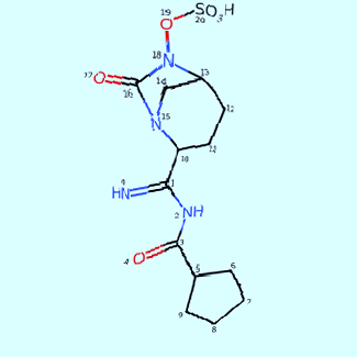 N=C(NC(=O)C1CCCC1)C1CCC2CN1C(=O)N2OS(=O)(=O)O